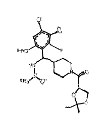 CC1(C)OCC(C(=O)N2CCC(C(N[S+]([O-])C(C)(C)C)c3c(O)cc(Cl)c(Cl)c3F)CC2)O1